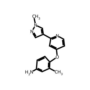 Cc1cc(N)ccc1Oc1ccnc(-c2cnn(C)c2)c1